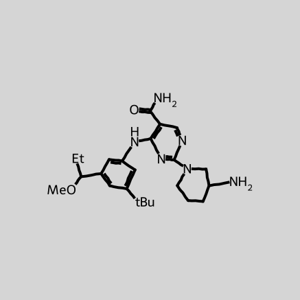 CCC(OC)c1cc(Nc2nc(N3CCCC(N)C3)ncc2C(N)=O)cc(C(C)(C)C)c1